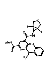 CNC(=O)c1cc(C(=O)N[C@H]2[C@@H]3COC[C@@H]32)cc(C(C)c2ccccc2OC)n1